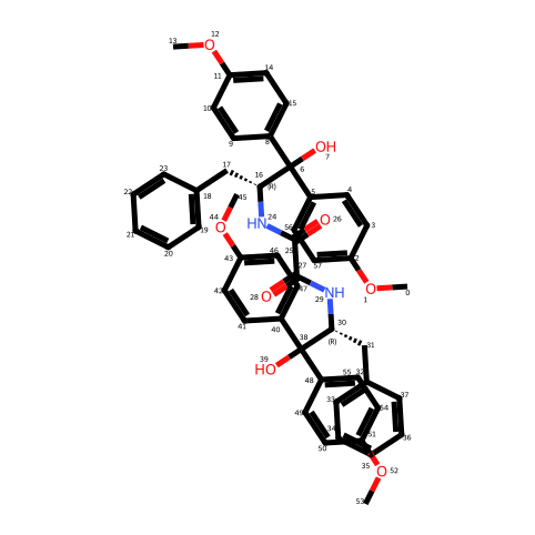 COc1ccc(C(O)(c2ccc(OC)cc2)[C@@H](Cc2ccccc2)NC(=O)C(=O)N[C@H](Cc2ccccc2)C(O)(c2ccc(OC)cc2)c2ccc(OC)cc2)cc1